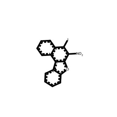 O=[N+]([O-])c1c(I)c2ccccc2c2c1oc1ccccc12